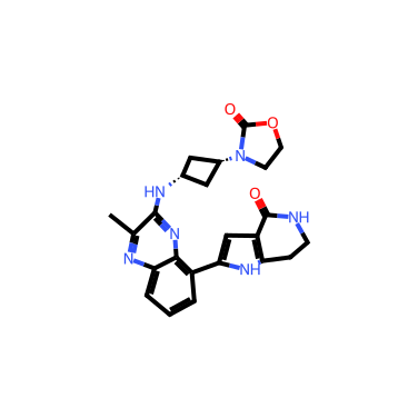 Cc1nc2cccc(-c3cc4c([nH]3)CCNC4=O)c2nc1N[C@H]1C[C@@H](N2CCOC2=O)C1